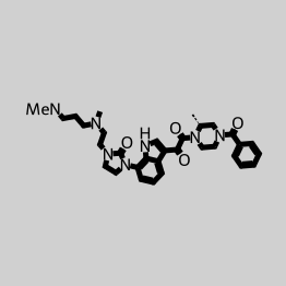 CNCCCN(C)CCN1CCN(c2cccc3c(C(=O)C(=O)N4CCN(C(=O)c5ccccc5)C[C@H]4C)c[nH]c23)C1=O